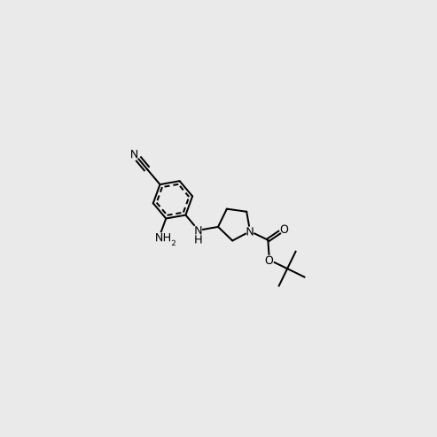 CC(C)(C)OC(=O)N1CCC(Nc2ccc(C#N)cc2N)C1